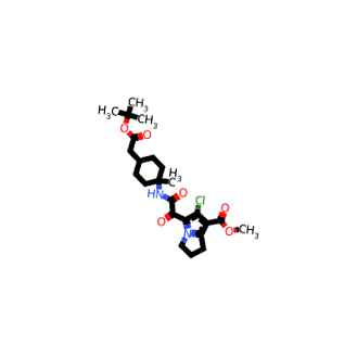 COC(=O)c1c(Cl)c(C(=O)C(=O)NC2(C)CCC(CC(=O)OC(C)(C)C)CC2)n2c1CCC2